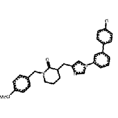 COc1ccc(CN2CCCC(Cc3cn(-c4cccc(-c5ccc(Cl)cc5)c4)cn3)C2=O)cc1